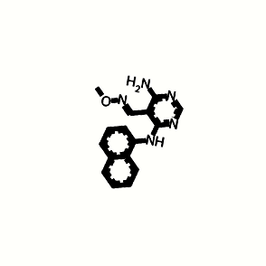 CON=Cc1c(N)ncnc1Nc1cccc2ccccc12